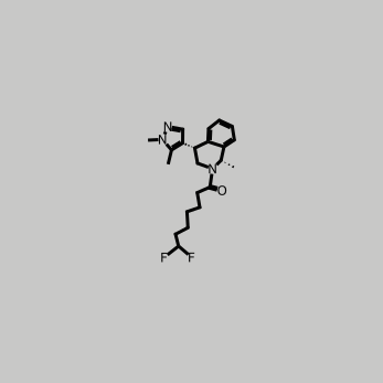 Cc1c([C@H]2CN(C(=O)CCCCCC(F)F)[C@@H](C)c3ccccc32)cnn1C